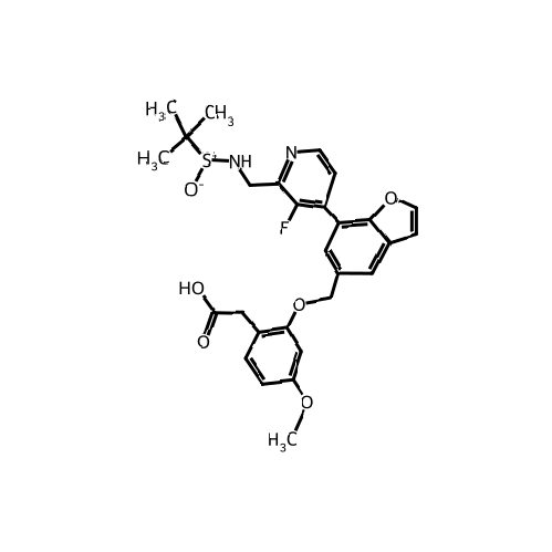 COc1ccc(CC(=O)O)c(OCc2cc(-c3ccnc(CN[S+]([O-])C(C)(C)C)c3F)c3occc3c2)c1